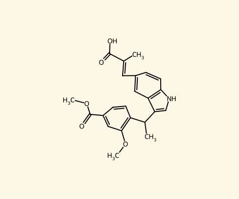 COC(=O)c1ccc(C(C)c2c[nH]c3ccc(/C=C(\C)C(=O)O)cc23)c(OC)c1